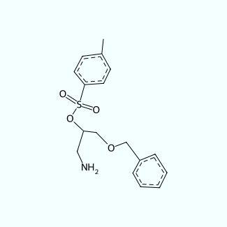 Cc1ccc(S(=O)(=O)OC(CN)COCc2ccccc2)cc1